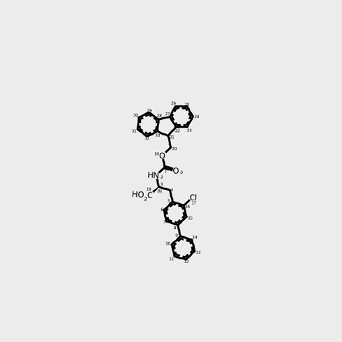 O=C(N[C@@H](Cc1ccc(-c2ccccc2)cc1Cl)C(=O)O)OCC1c2ccccc2-c2ccccc21